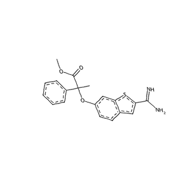 COC(=O)C(C)(Oc1ccc2cc(C(=N)N)sc2c1)c1ccccc1